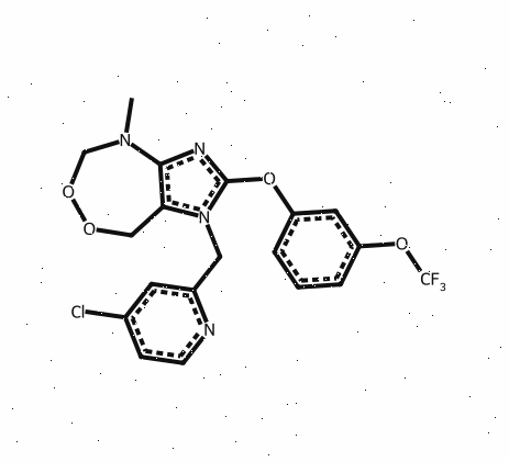 CN1COOCc2c1nc(Oc1cccc(OC(F)(F)F)c1)n2Cc1cc(Cl)ccn1